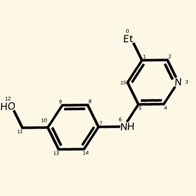 CCc1cncc(Nc2ccc(CO)cc2)c1